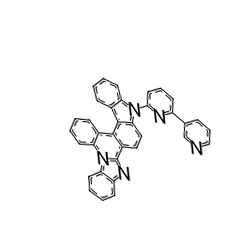 c1cncc(-c2cccc(-n3c4ccccc4c4c5c6ccccc6n6c7ccccc7nc6c5ccc43)n2)c1